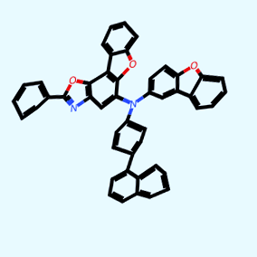 c1ccc(-c2nc3cc(N(c4ccc(-c5cccc6ccccc56)cc4)c4ccc5oc6ccccc6c5c4)c4oc5ccccc5c4c3o2)cc1